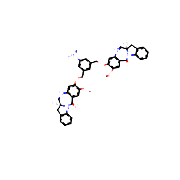 CNc1cc(COc2cc3c(cc2OC)C(=O)N2c4ccccc4C[C@H]2C=N3)cc(COc2cc3c(cc2OC)C(=O)N2c4ccccc4C[C@H]2C=N3)c1